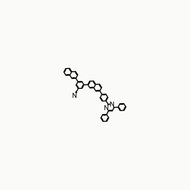 N#Cc1cc(-c2ccc3ccccc3c2)cc(-c2ccc3ccc(-c4ccc(-c5nc(-c6ccccc6)cc(-c6ccccc6)n5)cc4)cc3c2)c1